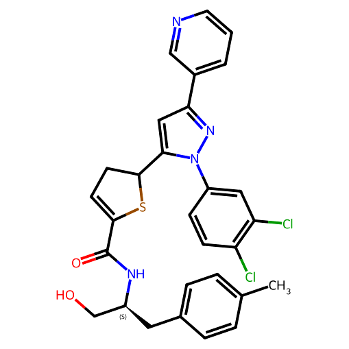 Cc1ccc(C[C@@H](CO)NC(=O)C2=CCC(c3cc(-c4cccnc4)nn3-c3ccc(Cl)c(Cl)c3)S2)cc1